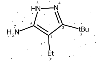 CCc1c(C(C)(C)C)n[nH]c1N